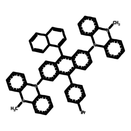 CC(C)c1ccc(-c2c3ccc(N4c5ccccc5N(C)c5ccccc54)cc3c(C3=CC=CC4C=CC=CC34)c3ccc(N4c5ccccc5N(C)c5ccccc54)cc23)cc1